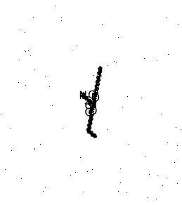 CCCC/C=C\CCCCCCCC(=O)OCCN(CCOC(=O)CCCCCCCCCCCCC)C(=O)CSCCN(C)C